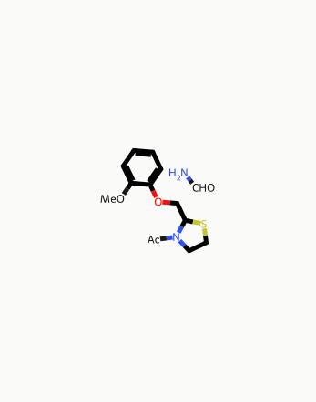 COc1ccccc1OCC1SCCN1C(C)=O.NC=O